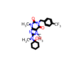 CN(c1nc2c(c(=O)n(Cc3ccc(C(F)(F)F)cc3)c(=O)n2C)n1C)C1(O)CCCCC1